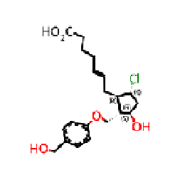 O=C(O)CCCC=CC[C@@H]1[C@@H](COc2ccc(CO)cc2)[C@H](O)C[C@H]1Cl